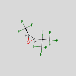 FC(F)(F)[C@@H]1O[C@H]1C(F)(C(F)(F)F)C(F)(F)F